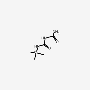 C[Si](C)(C)NC(=O)NC(N)=O